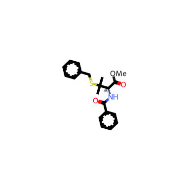 COC(=O)[C@@H](NC(=O)c1ccccc1)C(C)(C)SCc1ccccc1